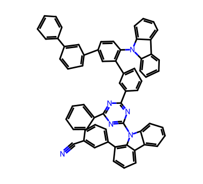 N#Cc1cccc(-c2cccc3c4ccccc4n(-c4nc(-c5ccccc5)nc(-c5cccc(-c6cc(-c7cccc(-c8ccccc8)c7)ccc6-n6c7ccccc7c7ccccc76)c5)n4)c23)c1